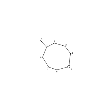 CC1CCCOCCC1